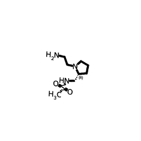 CS(=O)(=O)NC[C@H]1CCCN1CCN